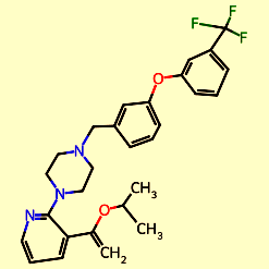 C=C(OC(C)C)c1cccnc1N1CCN(Cc2cccc(Oc3cccc(C(F)(F)F)c3)c2)CC1